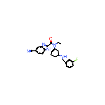 CCN(C(=O)c1nc2cc(C#N)ccc2[nH]1)C1=CCCC(NCc2cccc(F)c2)C1